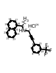 C[C@@H](NCC#Cc1cccc(C(F)(F)F)c1)c1cccc2ccccc12.Cl